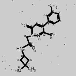 Cc1cccc(-c2cc(=O)n(CC(=O)NC3CC(C)(O)C3)nc2C(C)C)c1